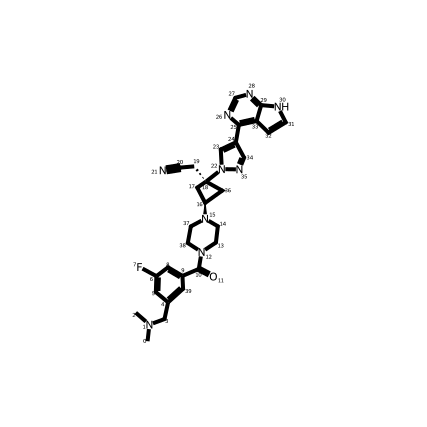 CN(C)Cc1cc(F)cc(C(=O)N2CCN([C@H]3C[C@@](CC#N)(n4cc(-c5ncnc6[nH]ccc56)cn4)C3)CC2)c1